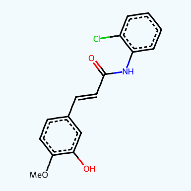 COc1ccc(C=CC(=O)Nc2ccccc2Cl)cc1O